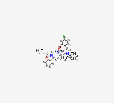 CCCC(=O)N1CCN(C(=O)[C@@H]2CN(C(C)(C)C)C[C@H]2c2ccc(F)cc2F)CCCC1c1ccccc1